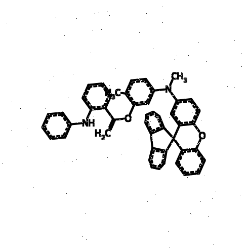 C=C(Oc1cc(N(C)c2ccc3c(c2)C2(c4ccccc4O3)c3ccccc3-c3ccccc32)ccc1C)c1ccccc1Nc1ccccc1